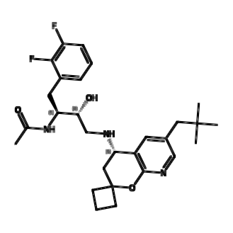 CC(=O)N[C@@H](Cc1cccc(F)c1F)[C@H](O)CN[C@H]1CC2(CCC2)Oc2ncc(CC(C)(C)C)cc21